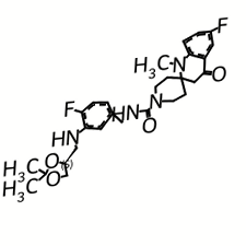 CN1c2ccc(F)cc2C(=O)CC12CCN(C(=O)NCc1ccc(F)c(NC[C@H]3COC(C)(C)O3)c1)CC2